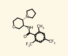 Cc1cc(C(F)(F)F)cc(C(F)(F)F)c1C(=O)N[C@H]1COCC[C@@H]1N1CCCC1